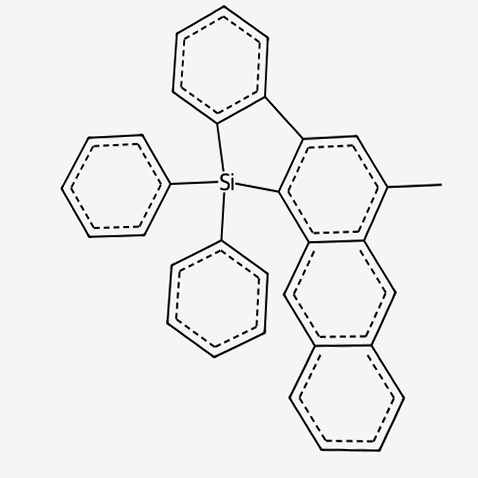 Cc1cc2c(c3cc4ccccc4cc13)[Si](c1ccccc1)(c1ccccc1)c1ccccc1-2